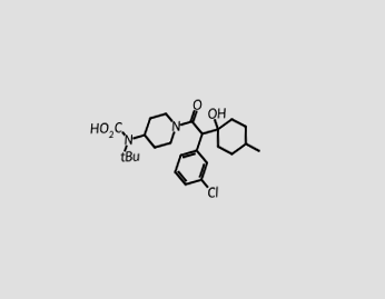 CC1CCC(O)(C(C(=O)N2CCC(N(C(=O)O)C(C)(C)C)CC2)c2cccc(Cl)c2)CC1